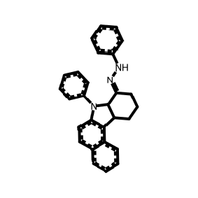 c1ccc(N/N=C2\CCCC3c4c(ccc5ccccc45)N(c4ccccc4)C23)cc1